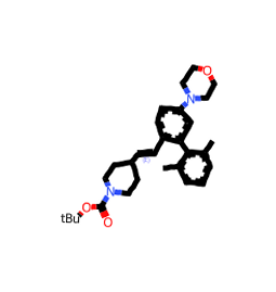 Cc1cccc(C)c1-c1cc(N2CCOCC2)ccc1/C=C/C1CCN(C(=O)OC(C)(C)C)CC1